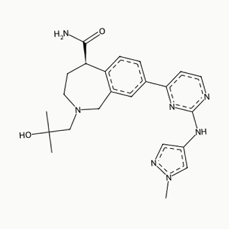 Cn1cc(Nc2nccc(-c3ccc4c(c3)CN(CC(C)(C)O)CC[C@H]4C(N)=O)n2)cn1